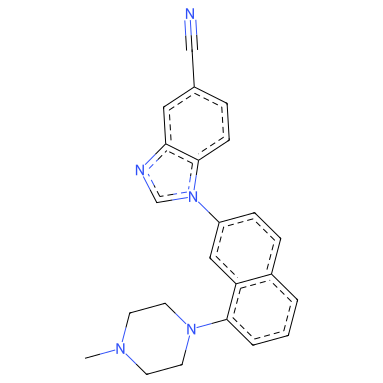 CN1CCN(c2cccc3ccc(-n4cnc5cc(C#N)ccc54)cc23)CC1